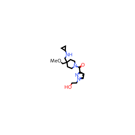 COCC1(CNC2CC2)CCN(C(=O)c2ccn(CCO)n2)CC1